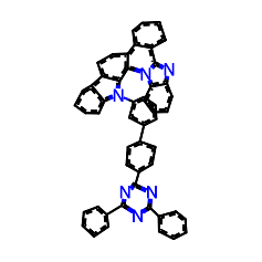 c1ccc(-c2nc(-c3ccccc3)nc(-c3ccc(-c4cccc(-n5c6ccccc6c6ccc7c8ccccc8c8nc9ccccc9n8c7c65)c4)cc3)n2)cc1